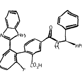 CCC[C@@H](NC(=O)c1ccc(-c2c(F)cccc2-c2nc3ccccc3[nH]2)c(C(=O)O)c1)c1ccccc1